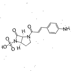 Nc1ccc(C=CC(=O)N2CC[C@@H]3[C@H]2C(=O)N3S(=O)(=O)O)cc1